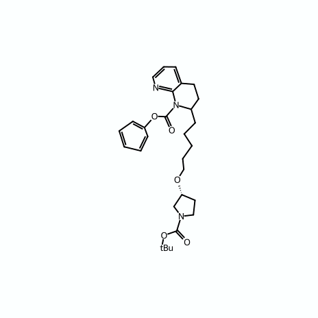 CC(C)(C)OC(=O)N1CC[C@@H](OCCCCCC2CCc3cccnc3N2C(=O)Oc2ccccc2)C1